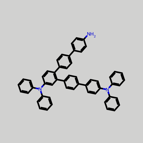 Nc1ccc(-c2ccc(-c3ccc(N(c4ccccc4)c4ccccc4)cc3-c3ccc(-c4ccc(N(c5ccccc5)c5ccccc5)cc4)cc3)cc2)cc1